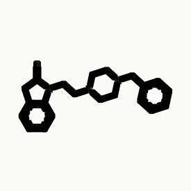 O=C1Cc2ccccc2N1CCN1CCN(Cc2ccccc2)CC1